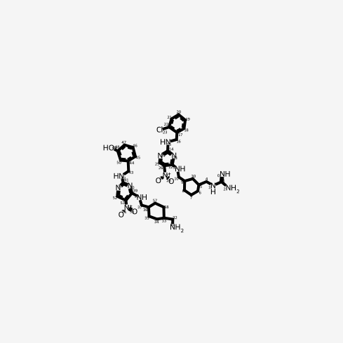 N=C(N)NCC1CCCC(CNc2nc(NCc3ccccc3Cl)ncc2[N+](=O)[O-])C1.NCC1CCC(CNc2nc(NCc3cccc(O)c3)ncc2[N+](=O)[O-])CC1